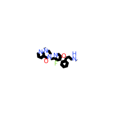 CNCCC(Oc1cnc(CN2CCN(C)c3ncccc3C2=O)c(F)c1)c1ccccc1